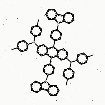 Cc1ccc(N(c2ccc(F)cc2)c2ccc3c(-c4ccc(-n5c6ccccc6c6ccccc65)cc4)c4cc(N(c5ccc(C)cc5)c5ccc(F)cc5)ccc4c(-c4ccc(-n5c6ccccc6c6ccccc65)cc4)c3c2)cc1